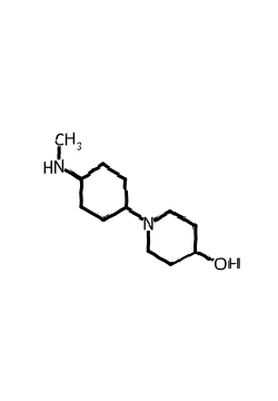 CNC1CCC(N2CCC(O)CC2)CC1